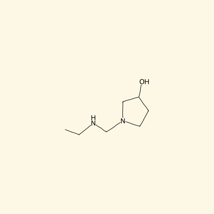 CCNCN1CCC(O)C1